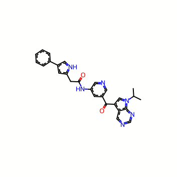 CC(C)n1cc(C(=O)c2cncc(NC(=O)Cc3cc(-c4ccccc4)c[nH]3)c2)c2cncnc21